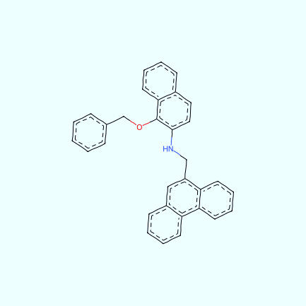 c1ccc(COc2c(NCc3cc4ccccc4c4ccccc34)ccc3ccccc23)cc1